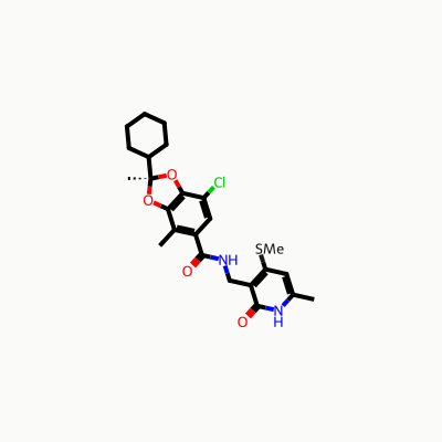 CSc1cc(C)[nH]c(=O)c1CNC(=O)c1cc(Cl)c2c(c1C)O[C@@](C)(C1CCCCC1)O2